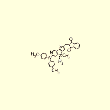 Cc1ccc(N(c2ccc(C)cc2)c2cc3c(cn2)-c2sc(C=C4C(=O)c5ccccc5C4=O)cc2C3(C)C)cc1